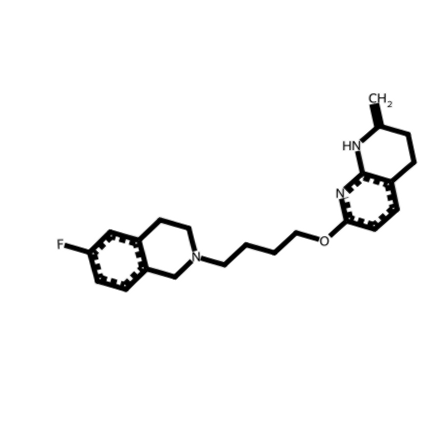 C=C1CCc2ccc(OCCCCN3CCc4cc(F)ccc4C3)nc2N1